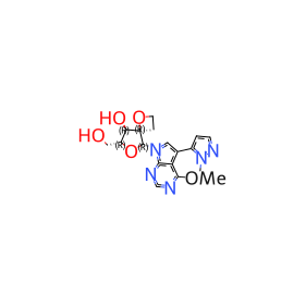 COc1ncnc2c1c(-c1ccnn1C)cn2[C@@H]1O[C@H](CO)[C@@H](O)[C@]12CCO2